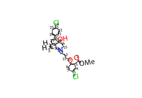 COC(=O)c1cc(Cl)ccc1OCCCN1CCC(O)(Cc2ccc(Cl)cc2)C(C)(C)C1